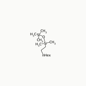 CCCCCCCC[Si](C)(C)O[Si](C)(C)C